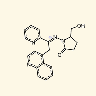 O=C1CCC(CO)N1/N=C(\Cc1ccnc2ccccc12)c1ccccn1